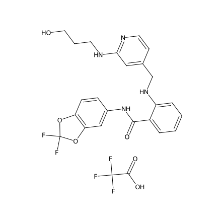 O=C(Nc1ccc2c(c1)OC(F)(F)O2)c1ccccc1NCc1ccnc(NCCCO)c1.O=C(O)C(F)(F)F